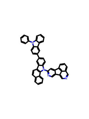 c1ccc(-n2c3ccccc3c3cc(-c4ccc5c(c4)c4ccc6ccccc6c4n5-c4cc5c(cn4)-c4cncc6cccc-5c46)ccc32)cc1